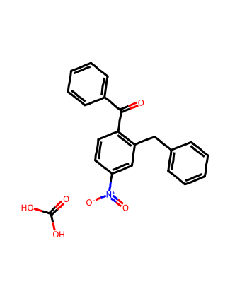 O=C(O)O.O=C(c1ccccc1)c1ccc([N+](=O)[O-])cc1Cc1ccccc1